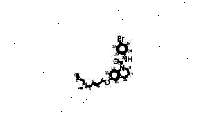 C=CCN(C)CC=CCOc1ccc2c(c1)CCCN2C(=O)Nc1ccc(Br)cc1